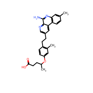 Cc1ccc2c(c1)nc(N)c1ncc(CCc3ccc(OC(C)CCC(=O)O)cc3C)cc12